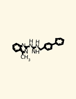 Cc1nc(NC(=N)NCc2ccc(-c3ccccc3)cc2)nc2ccccc12